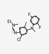 CCN(C)/C=N\c1cc(C)c(N(C)c2cc(F)ccc2F)cc1Cl